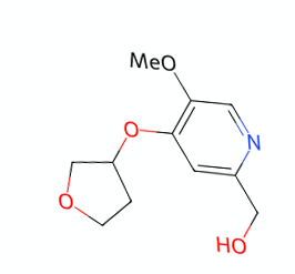 COc1cnc(CO)cc1OC1CCOC1